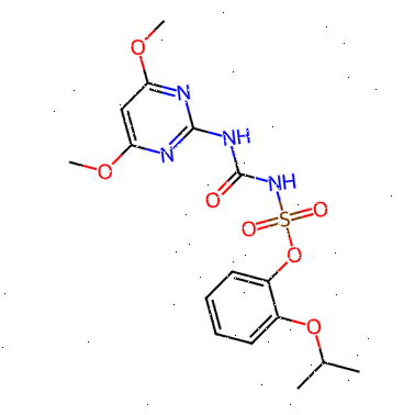 COc1cc(OC)nc(NC(=O)NS(=O)(=O)Oc2ccccc2OC(C)C)n1